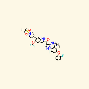 Cc1cc(Oc2ccccc2F)cc(F)c1-n1ncc(C(=O)c2cc3cc(OC(F)F)c(C4CCN(S(C)(=O)=O)CC4)cc3[nH]2)c1N